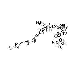 CCSc1ncc(C#CCCCC(=O)NCc2cn(CCOCCNC(=O)COCC(=O)N[C@@H](CCCCN)C(=O)Nc3ccc(COC(=O)O[C@]4(CC)C(=O)OCc5c4cc4n(c5=O)Cc5c-4nc4ccccc4c5CCN(C(C)=O)C(C)C)cc3)nn2)cn1